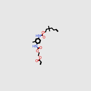 C=CCCC(C)(C)CCOC(=O)Nc1ccc(NC(=O)OCCOC(=O)C=C)c(C)c1